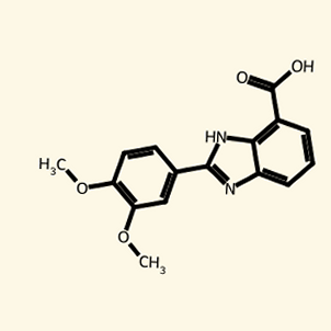 COc1ccc(-c2nc3cccc(C(=O)O)c3[nH]2)cc1OC